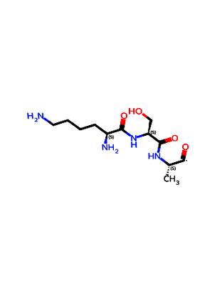 C[C@@H]([C]=O)NC(=O)[C@H](CO)NC(=O)[C@@H](N)CCCCN